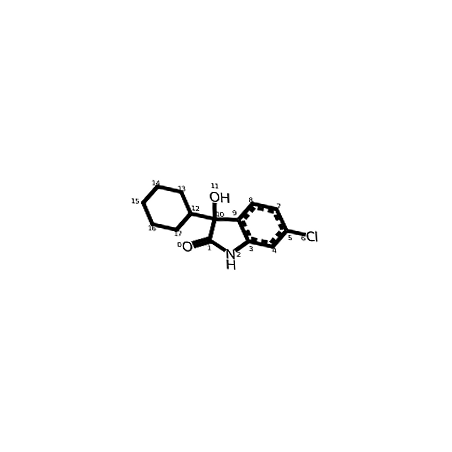 O=C1Nc2cc(Cl)ccc2C1(O)C1CCCCC1